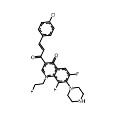 O=C(C=Cc1ccc(Cl)cc1)c1cn(CCF)c2c(F)c(N3CCNCC3)c(F)cc2c1=O